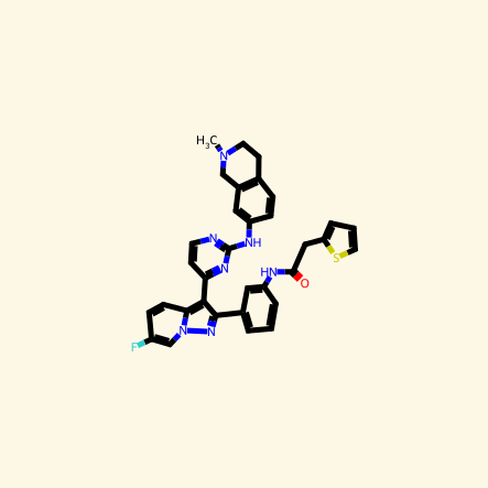 CN1CCc2ccc(Nc3nccc(-c4c(-c5cccc(NC(=O)Cc6cccs6)c5)nn5cc(F)ccc45)n3)cc2C1